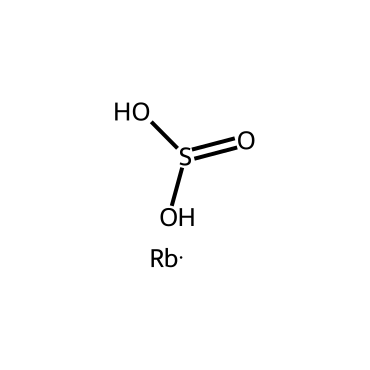 O=S(O)O.[Rb]